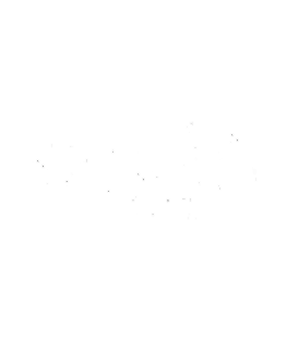 Nc1c(Br)cc(C(=O)C(CC(=O)O)CN2CCC(c3ccncc3)CC2)cc1Br